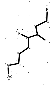 CC(=O)SCCCC(F)C(F)CCF